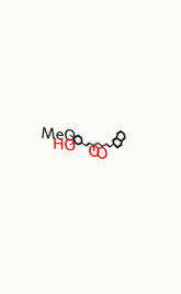 COc1ccc(C=CC(=O)CC(=O)C=Cc2ccc3ccccc3c2)cc1O